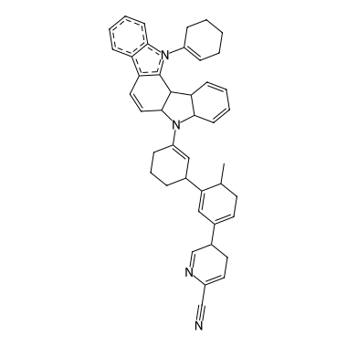 CC1CC=C(C2C=NC(C#N)=CC2)C=C1C1C=C(N2C3C=CC=CC3C3c4c(c5ccccc5n4C4=CCCCC4)C=CC32)CCC1